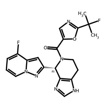 CC(C)(F)c1ncc(C(=O)N2CCc3[nH]cnc3[C@@H]2c2cc3c(F)cccn3n2)o1